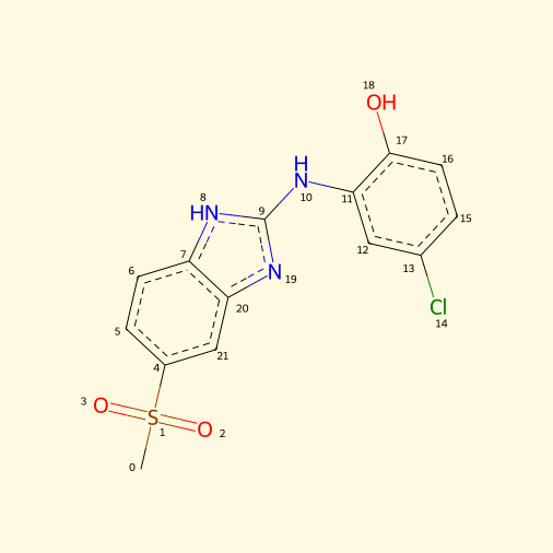 CS(=O)(=O)c1ccc2[nH]c(Nc3cc(Cl)ccc3O)nc2c1